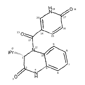 CC(C)[C@H]1C(=O)Nc2ccccc2N1C(=O)c1ccc(=O)[nH]c1